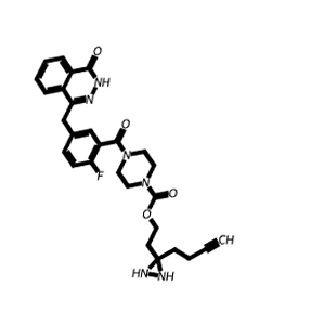 C#CCCC1(CCOC(=O)N2CCN(C(=O)c3cc(Cc4n[nH]c(=O)c5ccccc45)ccc3F)CC2)NN1